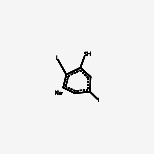 Sc1cc(I)ccc1I.[Na]